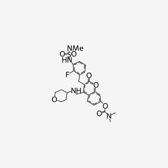 CNS(=O)(=O)Nc1cccc(Cc2c(CNC3CCOCC3)c3ccc(OC(=O)N(C)C)cc3oc2=O)c1F